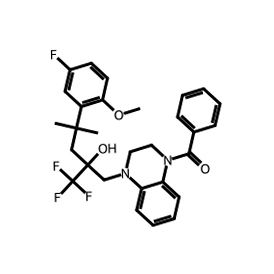 COc1ccc(F)cc1C(C)(C)CC(O)(CN1CCN(C(=O)c2ccccc2)c2ccccc21)C(F)(F)F